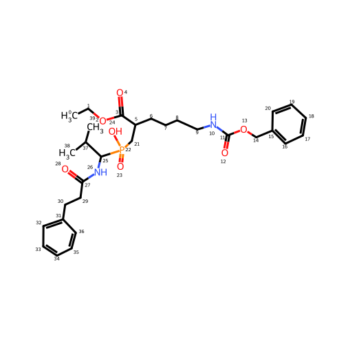 CCOC(=O)C(CCCCNC(=O)OCc1ccccc1)CP(=O)(O)C(NC(=O)CCc1ccccc1)C(C)C